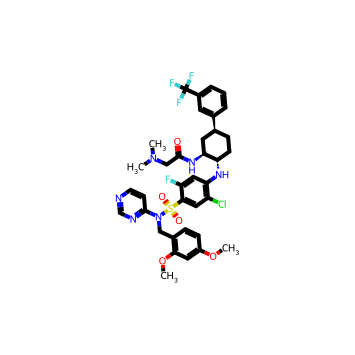 COc1ccc(CN(c2ccncn2)S(=O)(=O)c2cc(Cl)c(N[C@H]3CC[C@H](c4cccc(C(F)(F)F)c4)C[C@@H]3NC(=O)CN(C)C)cc2F)c(OC)c1